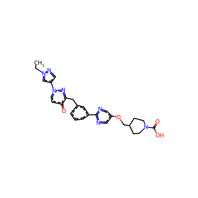 CCn1cc(-n2ccc(=O)c(Cc3cccc(-c4ncc(OCC5CCN(C(=O)O)CC5)cn4)c3)n2)cn1